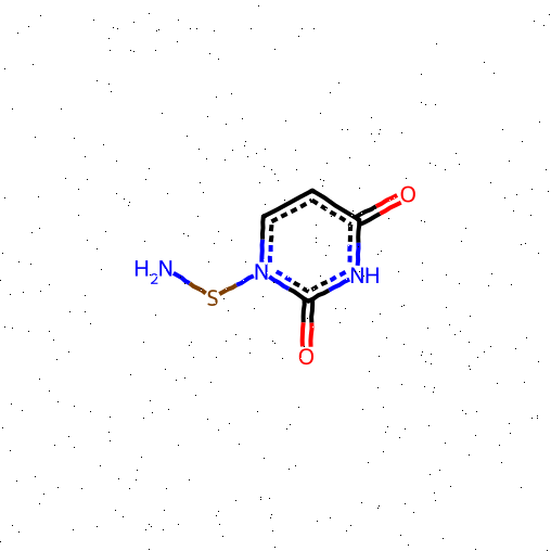 NSn1ccc(=O)[nH]c1=O